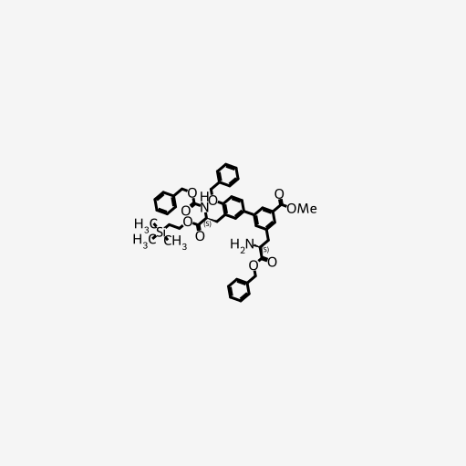 COC(=O)c1cc(C[C@H](N)C(=O)OCc2ccccc2)cc(-c2ccc(OCc3ccccc3)c(C[C@H](NC(=O)OCc3ccccc3)C(=O)OCC[Si](C)(C)C)c2)c1